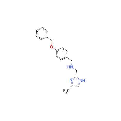 FC(F)(F)c1c[nH]c(CNCc2ccc(OCc3ccccc3)cc2)n1